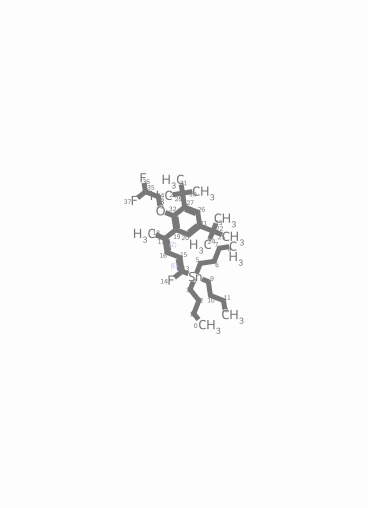 CCC[CH2][Sn]([CH2]CCC)([CH2]CCC)/[C](F)=C/C=C(/C)c1cc(C(C)(C)C)cc(C(C)(C)C)c1OCC(F)F